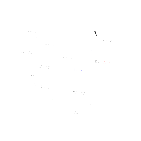 CC(C)[C@H](NC(=O)[C@H](Cc1ccccc1)N(C)C(=O)[C@@H](Cc1ccccc1)c1cccc(Cl)c1)C(=O)C(F)(F)F